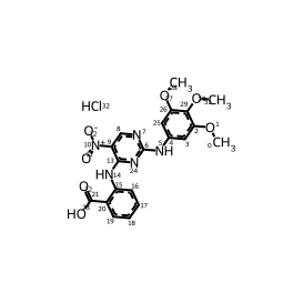 COc1cc(Nc2ncc([N+](=O)[O-])c(Nc3ccccc3C(=O)O)n2)cc(OC)c1OC.Cl